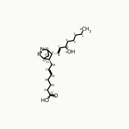 CCCCCC(O)C=C[C@H]1C2CC(N=N2)[C@@H]1CC=CCCCC(=O)O